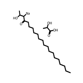 CC(O)C(=O)O.CCCCCCCCCCCCCCCCCC(=O)[CH]([Na])C(C)O